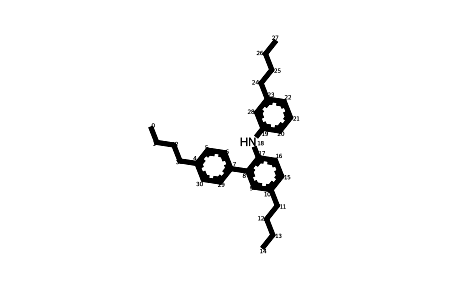 CCCCc1ccc(-c2cc(CCCC)ccc2Nc2cccc(CCCC)c2)cc1